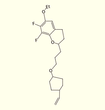 C=CC1CCC(OCCCC2CCc3cc(OCC)c(F)c(F)c3O2)CC1